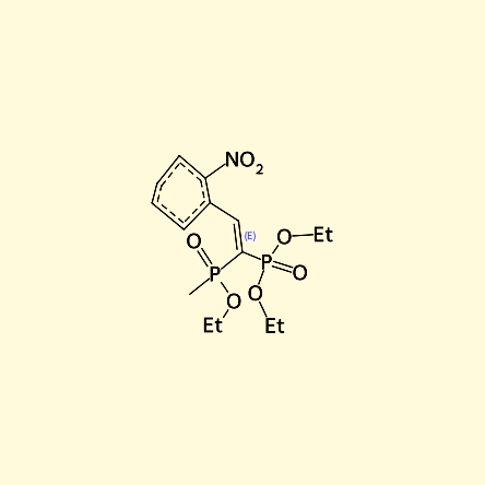 CCOP(C)(=O)/C(=C\c1ccccc1[N+](=O)[O-])P(=O)(OCC)OCC